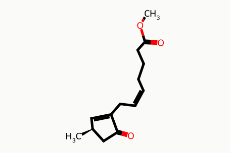 COC(=O)CCC/C=C\CC1=C[C@H](C)CC1=O